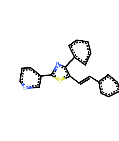 C(=C\c1sc(-c2cccnc2)nc1-c1ccccc1)/c1ccccc1